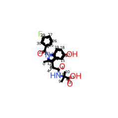 Cc1c([C@@H](C)C(=O)NC(C)(C)C(=O)O)c2cc(O)ccc2n1C(=O)c1cccc(F)c1